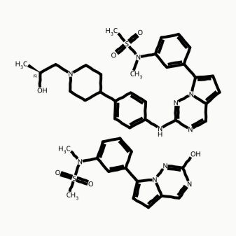 CN(c1cccc(-c2ccc3cnc(O)nn23)c1)S(C)(=O)=O.C[C@H](O)CN1CCC(c2ccc(Nc3ncc4ccc(-c5cccc(N(C)S(C)(=O)=O)c5)n4n3)cc2)CC1